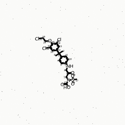 CC(C)(c1ccc(NCC(=O)CN(C(=O)O)S(C)(=O)=O)cc1)c1cc(Cl)c(OCCCl)c(Cl)c1